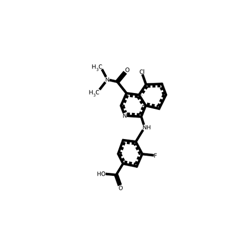 CN(C)C(=O)c1cnc(Nc2ccc(C(=O)O)cc2F)c2cccc(Cl)c12